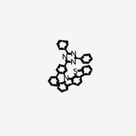 c1ccc(-c2nc(-c3ccccc3)nc(-c3ccc(-c4ccccc4)c(-n4c5ccccc5c5ccc6c7ccccc7sc6c54)c3)n2)cc1